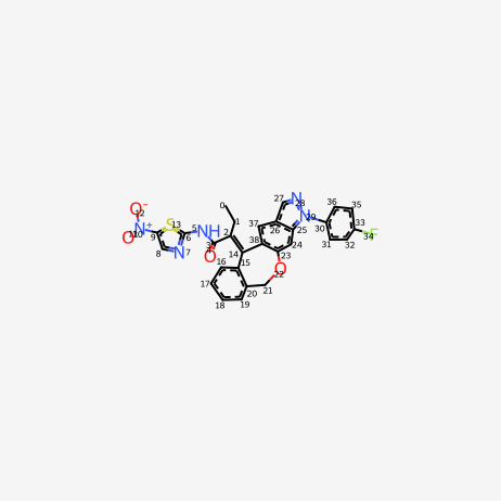 CC/C(C(=O)Nc1ncc([N+](=O)[O-])s1)=C1/c2ccccc2COc2cc3c(cnn3-c3ccc(F)cc3)cc21